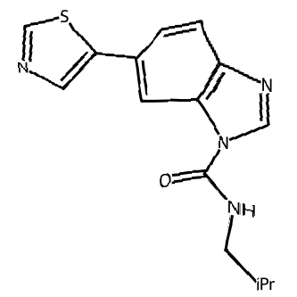 CC(C)CNC(=O)n1cnc2ccc(-c3cncs3)cc21